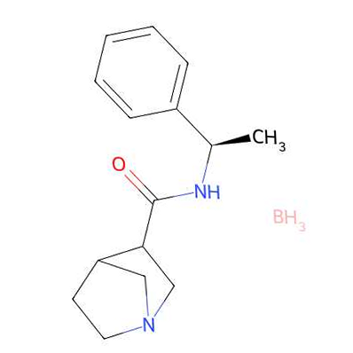 B.C[C@@H](NC(=O)C1CN2CCC1C2)c1ccccc1